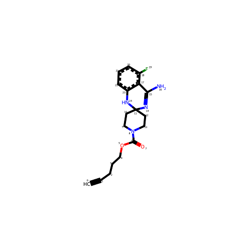 C#CCCCOC(=O)N1CCC2(CC1)N=C(N)c1c(F)cccc1N2